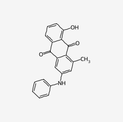 Cc1cc(Nc2ccccc2)cc2c1C(=O)c1c(O)cccc1C2=O